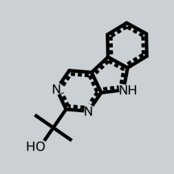 CC(C)(O)c1ncc2c(n1)[nH]c1ccccc12